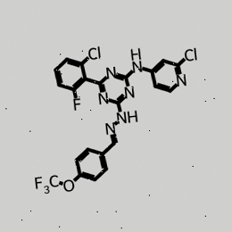 Fc1cccc(Cl)c1-c1nc(N/N=C/c2ccc(OC(F)(F)F)cc2)nc(Nc2ccnc(Cl)c2)n1